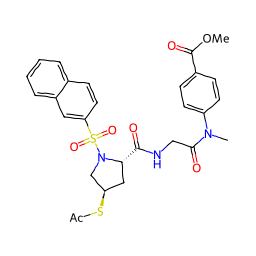 COC(=O)c1ccc(N(C)C(=O)CNC(=O)[C@@H]2C[C@@H](SC(C)=O)CN2S(=O)(=O)c2ccc3ccccc3c2)cc1